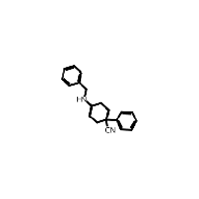 N#CC1(c2ccccc2)CCC(NCc2ccccc2)CC1